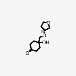 O=C1CCC(O)(CO[C@H]2CCOC2)CC1